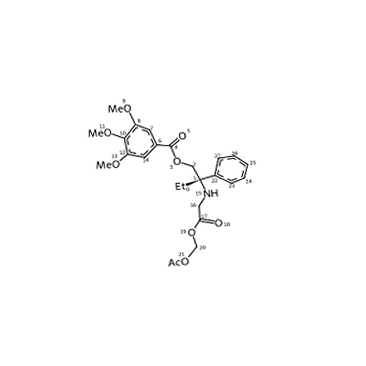 CC[C@](COC(=O)c1cc(OC)c(OC)c(OC)c1)(NCC(=O)OCOC(C)=O)c1ccccc1